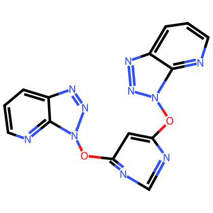 c1cnc2c(c1)nnn2Oc1cc(On2nnc3cccnc32)ncn1